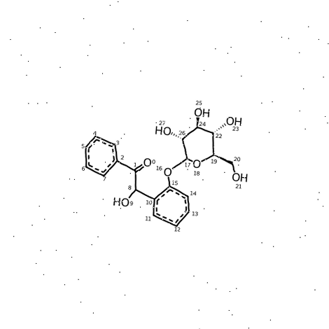 O=C(c1ccccc1)C(O)c1ccccc1OC1O[C@H](CO)[C@@H](O)[C@H](O)[C@H]1O